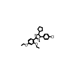 CCOc1ccc(C2=NC(C3CCCC3)C(c3ccc(Cl)cc3)N2C)c(OCC)c1